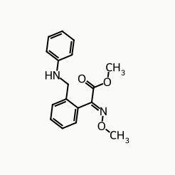 CO/N=C(/C(=O)OC)c1ccccc1CNc1ccccc1